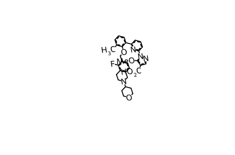 COc1c(C(=O)O)cnn1-c1cccc(-c2cccc(C)c2OCc2ccc3c(c2F)CCN(C2CCOCC2)C3)n1